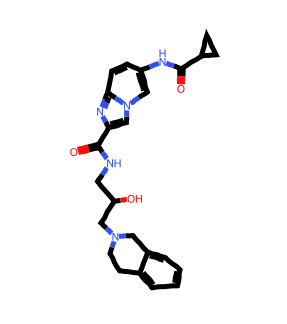 O=C(NCC(O)CN1CCc2ccccc2C1)c1cn2cc(NC(=O)C3CC3)ccc2n1